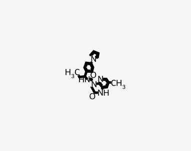 CCC(NC(=O)N1CC(=O)Nc2cc(C)cnc21)c1ccc(-n2cccc2)cc1